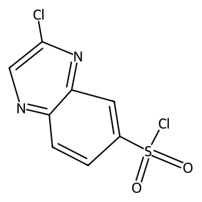 O=S(=O)(Cl)c1ccc2ncc(Cl)nc2c1